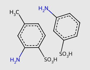 Cc1ccc(S(=O)(=O)O)c(N)c1.Nc1cccc(S(=O)(=O)O)c1